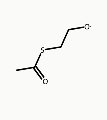 CC(=O)SCC[O]